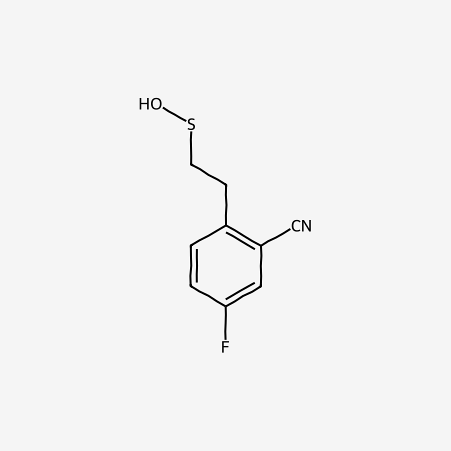 N#Cc1cc(F)ccc1CCSO